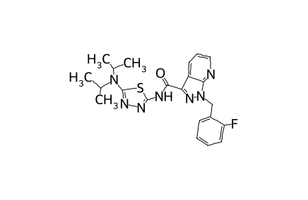 CC(C)N(c1nnc(NC(=O)c2nn(Cc3ccccc3F)c3ncccc23)s1)C(C)C